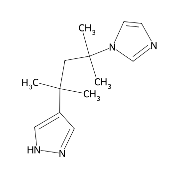 CC(C)(CC(C)(C)n1ccnc1)c1cn[nH]c1